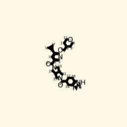 O=C(c1cnc(OCC2CCOCC2)c(C2CC2)c1)N1CC2CN(C(=O)C3CCc4[nH]nnc4C3)CC2C1